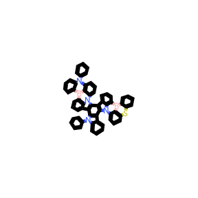 c1ccc(N2c3ccccc3B3c4c2cccc4-n2c4c3cccc4c3c4c(c5ccccc5n4-c4ccccc4)c4c(c5cccc6c5n4-c4cccc5c4B6c4ccccc4S5)c32)cc1